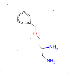 NC[C@H](N)CCOCc1ccccc1